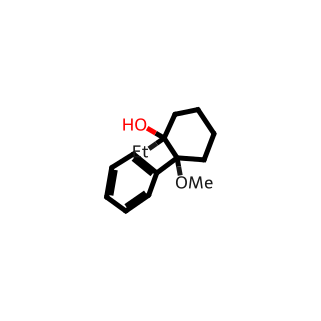 CCC1(O)CCCCC1(OC)c1ccccc1